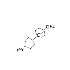 CCCC1CCC(C23CCC(OC(C)=O)(CC2)CC3)CC1